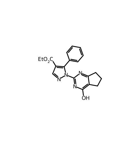 CCOC(=O)c1cnn(-c2nc(O)c3c(n2)CCC3)c1-c1ccccc1